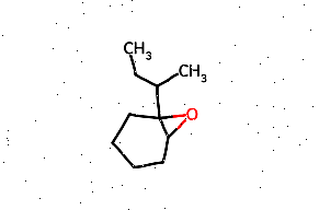 CCC(C)C12CCCCC1O2